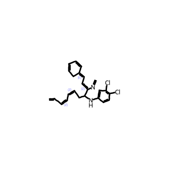 C=C/C=C\C=C/CC(Nc1ccc(Cl)c(Cl)c1)/C(=C/C=C1/C=CC=CC1)N=C